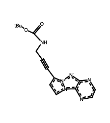 CC(C)(C)OC(=O)NCC#Cc1ccn2c3nccnc3[n-][n+]12